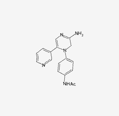 CC(=O)Nc1ccc(N2CC(N)=NC=C2c2cccnc2)cc1